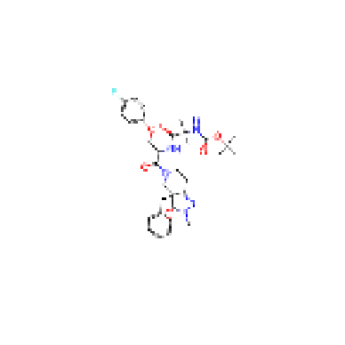 CN1N=C2CCN(C(=O)C(COc3ccc(F)cc3)NC(=O)C(C)(C)NC(=O)OC(C)(C)C)C[C@@]2(Cc2ccccc2)C1=O